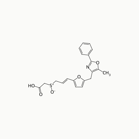 Cc1oc(-c2ccccc2)nc1Cc1ccc(/C=C/C[S+]([O-])CC(=O)O)o1